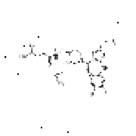 CCc1cc2c(s1)Nc1cc(F)c(F)cc1N=C2N1CCN(C)[C@@H](CCOC)C1.O=C(O)CCC(=O)O